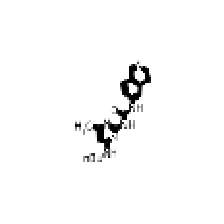 CCCCNc1cc(C)nc(NC(=O)Nc2ccc3c(c2)CCN=C3)n1